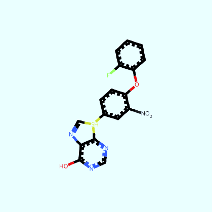 O=[N+]([O-])c1cc([SH]2C=Nc3c(O)ncnc32)ccc1Oc1ccccc1F